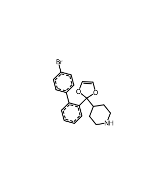 Brc1ccc(-c2ccccc2C2(C3CCNCC3)OC=CO2)cc1